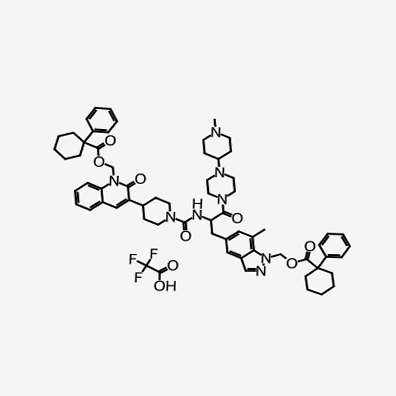 Cc1cc(CC(NC(=O)N2CCC(c3cc4ccccc4n(COC(=O)C4(c5ccccc5)CCCCC4)c3=O)CC2)C(=O)N2CCN(C3CCN(C)CC3)CC2)cc2cnn(COC(=O)C3(c4ccccc4)CCCCC3)c12.O=C(O)C(F)(F)F